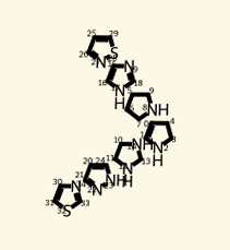 C1=CNCC1.C1CCNC1.C1CNCN1.c1c[nH]cn1.c1cn[nH]c1.c1cnsc1.c1cscn1